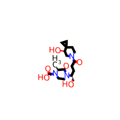 C[C@H]1C(=O)N([C@@H](CO)CCC(=O)N2CCC3(CC3)[C@H](O)C2)CCN1C(=O)O